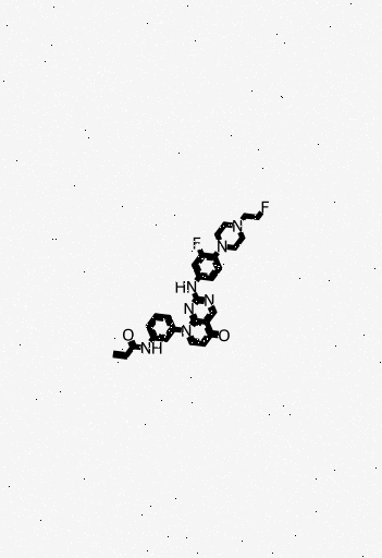 C=CC(=O)Nc1cccc(-n2ccc(=O)c3cnc(Nc4ccc(N5CCN(CCF)CC5)c(F)c4)nc32)c1